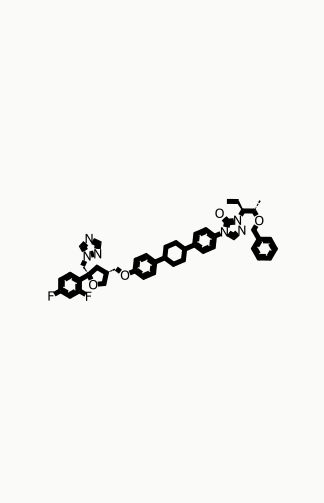 CC[C@@H]([C@H](C)OCc1ccccc1)n1ncn(-c2ccc(C3CCC(c4ccc(OC[C@@H]5CO[C@@](Cn6cncn6)(c6ccc(F)cc6F)C5)cc4)CC3)cc2)c1=O